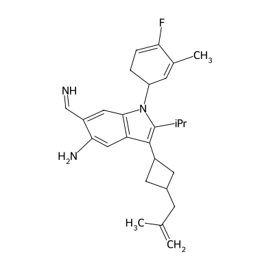 C=C(C)CC1CC(c2c(C(C)C)n(C3C=C(C)C(F)=CC3)c3cc(C=N)c(N)cc23)C1